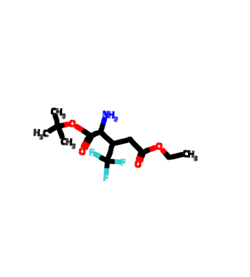 CCOC(=O)CC(C(N)C(=O)OC(C)(C)C)C(F)(F)F